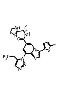 Cc1ccc(-c2cnc3c(-n4nncc4CC(F)(F)F)cc(C(=O)N[C@@H](C)c4nnc[nH]4)cn23)s1